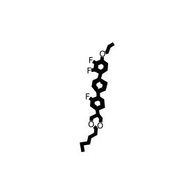 CCCCCC1OCC(c2ccc(-c3ccc(-c4ccc(OCCC)c(F)c4F)cc3)c(F)c2)CO1